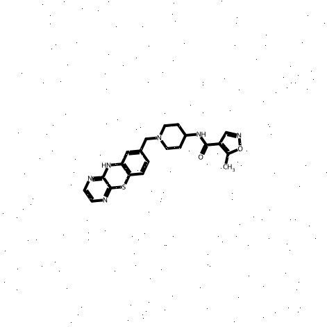 Cc1oncc1C(=O)NC1CCN(Cc2ccc3c(c2)Nc2nccnc2S3)CC1